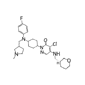 CN1CCC(CN(c2ccc(F)cc2)C2CCC(n3ncc(NC[C@H]4CCCOC4)c(Cl)c3=O)CC2)C1